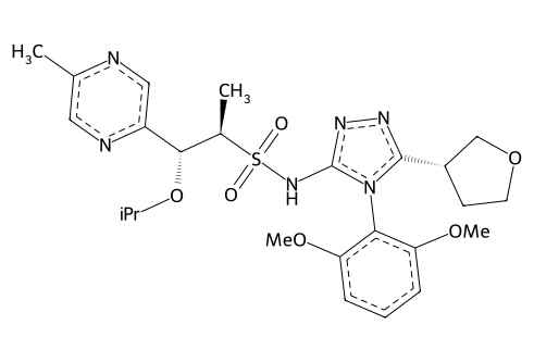 COc1cccc(OC)c1-n1c(NS(=O)(=O)[C@H](C)[C@H](OC(C)C)c2cnc(C)cn2)nnc1[C@H]1CCOC1